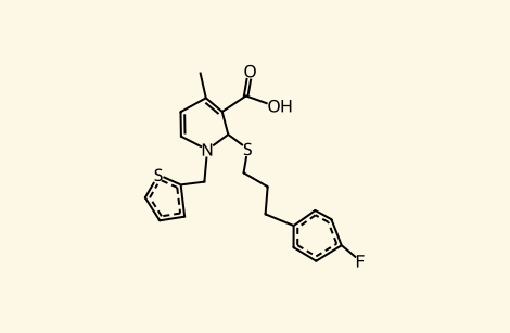 CC1=C(C(=O)O)C(SCCCc2ccc(F)cc2)N(Cc2cccs2)C=C1